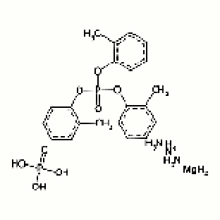 Cc1ccccc1OP(=O)(Oc1ccccc1C)Oc1ccccc1C.N.N.N.O=P(O)(O)O.[MgH2]